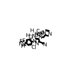 CS(=O)(=O)N(Cc1cnccn1)c1c(C#N)nn(-c2c(Cl)cc(S(F)(F)(F)(F)F)cc2Cl)c1N